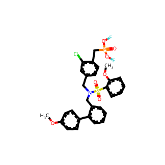 COc1ccc(-c2ccccc2CN(Cc2ccc(CP(=O)(OF)OF)c(Cl)c2)S(=O)(=O)c2ccccc2OC)cc1